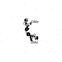 COCCOC/C(=N\OC(=O)n1ccnc1)c1ccc(Sc2ccc(/C(COCCOC)=N/OC(=O)n3ccnc3)cc2)cc1